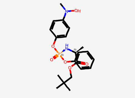 C[C@H](N[P@](=O)(Oc1ccccc1)Oc1ccc(N(C)O)cc1)C(=O)OCC(C)(C)C